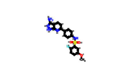 COc1ccc(F)c(S(=O)(=O)Nc2ccc(-c3ccc4c(N)n[nH]c4n3)cc2)c1